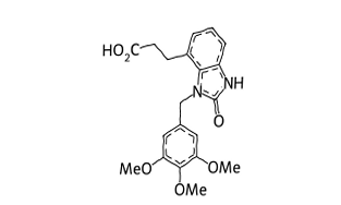 COc1cc(Cn2c(=O)[nH]c3cccc(CCC(=O)O)c32)cc(OC)c1OC